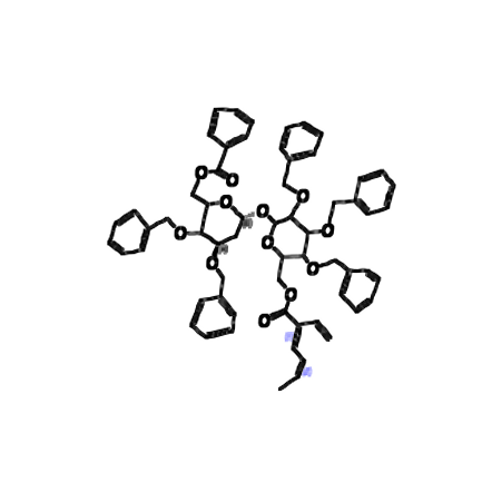 C=C/C(=C\C=C/C)C(=O)OCC1OC(O[C@@H]2C[C@@H](OCc3ccccc3)C(OCc3ccccc3)C(COC(=O)c3ccccc3)O2)C(OCc2ccccc2)C(OCc2ccccc2)C1OCc1ccccc1